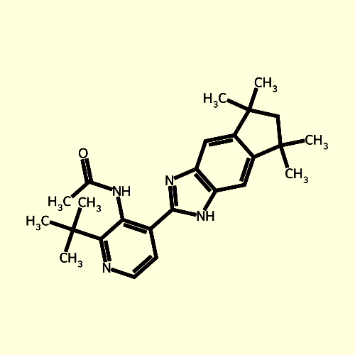 CC(=O)Nc1c(-c2nc3cc4c(cc3[nH]2)C(C)(C)CC4(C)C)ccnc1C(C)(C)C